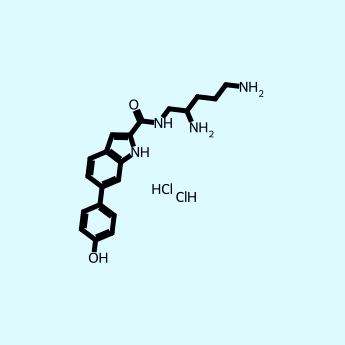 Cl.Cl.NCCCC(N)CNC(=O)c1cc2ccc(-c3ccc(O)cc3)cc2[nH]1